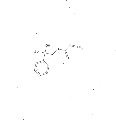 C=CC(=O)OCC(O)(c1ccccc1)C(C)(C)C